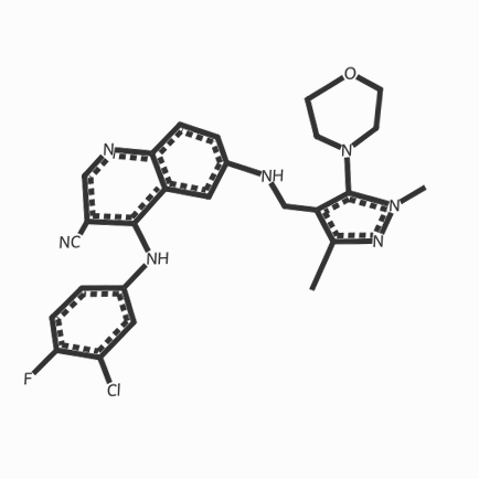 Cc1nn(C)c(N2CCOCC2)c1CNc1ccc2ncc(C#N)c(Nc3ccc(F)c(Cl)c3)c2c1